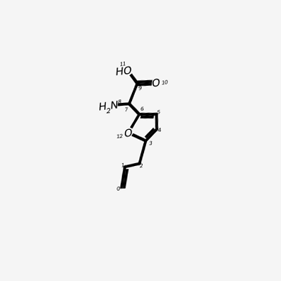 C=CCc1ccc(C(N)C(=O)O)o1